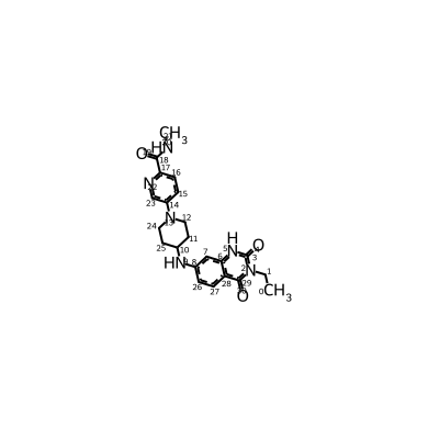 CCn1c(=O)[nH]c2cc(NC3CCN(c4ccc(C(=O)NC)nc4)CC3)ccc2c1=O